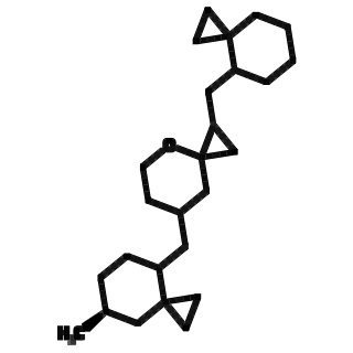 C[C@H]1CCC(CC2CCOC3(C2)CC3CC2CCCCC23CC3)C2(CC2)C1